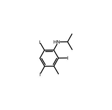 Cc1c(I)cc(I)c(NC(C)C)c1I